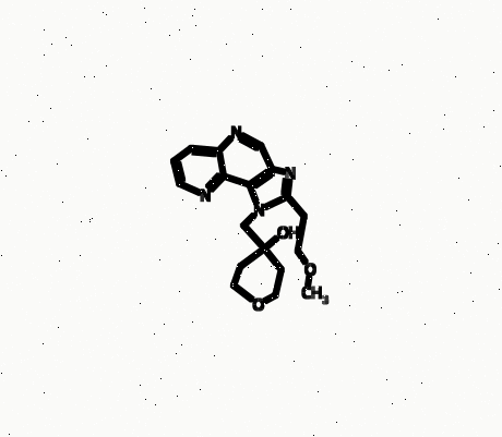 COCCc1nc2cnc3cccnc3c2n1CC1(O)CCOCC1